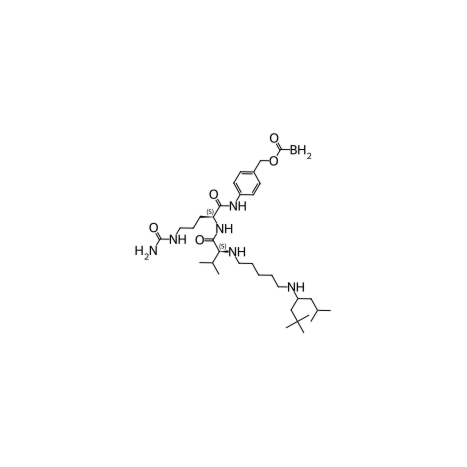 BC(=O)OCc1ccc(NC(=O)[C@H](CCCNC(N)=O)NC(=O)[C@@H](NCCCCCNC(CC(C)C)CC(C)(C)C)C(C)C)cc1